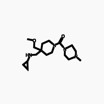 COCC1(CNC2CC2)CCN(C(=O)N2CCN(C)CC2)CC1